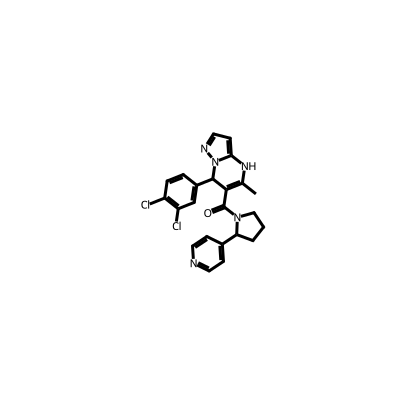 CC1=C(C(=O)N2CCCC2c2ccncc2)C(c2ccc(Cl)c(Cl)c2)n2nccc2N1